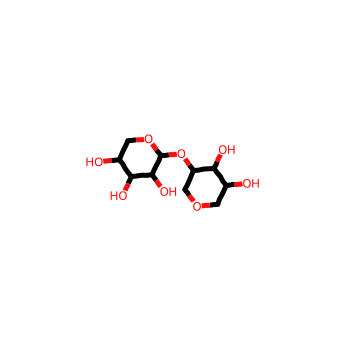 OC1COCC(OC2OCC(O)C(O)C2O)C1O